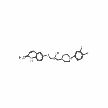 C=C1C=Cc2cc(OC[C@@H](O)CN3CCN(c4ccc(F)c(F)c4)CC3)ccc2N1